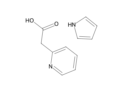 O=C(O)Cc1ccccn1.c1cc[nH]c1